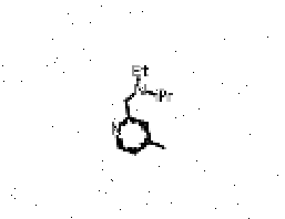 CCN(Cc1cc(C)ccn1)C(C)C